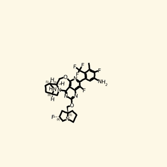 Cc1c(F)c(N)cc(-c2nc3c4c(nc(OC[C@@]56CCCN5C[C@H](F)C6)nc4c2F)N2C[C@H]4CC[C@H](N4)[C@H]2CO3)c1C(F)(F)F